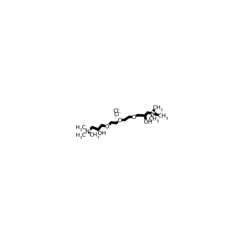 C[N+](C)(C)CC(O)COCCOCCOCC(O)C[N+](C)(C)C.[Cl-].[Cl-]